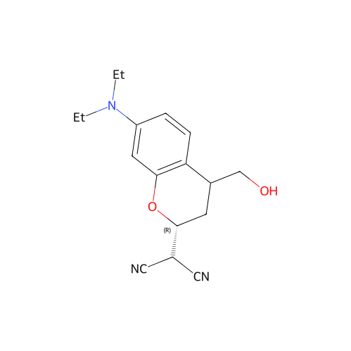 CCN(CC)c1ccc2c(c1)O[C@@H](C(C#N)C#N)CC2CO